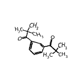 CC(C)(C)C(=O)c1cccc(C(=O)C(C)(C)C)c1